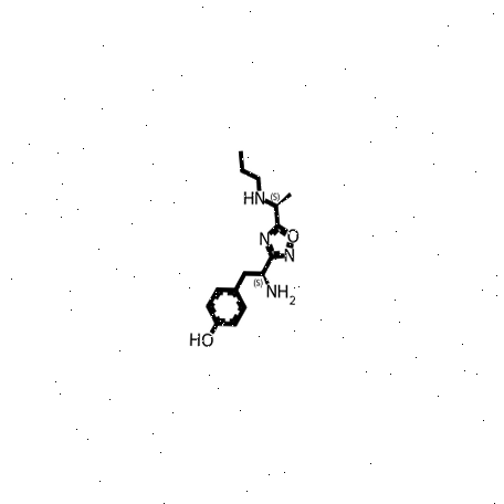 CCCN[C@@H](C)c1nc([C@@H](N)Cc2ccc(O)cc2)no1